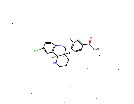 COC(=O)c1ccc([C@H]2Nc3ccc(Cl)cc3[C@@H]3NCCC[C@@H]23)c(C)c1